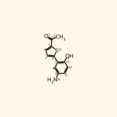 CC(=O)c1ccc(-c2cc(N)ccc2O)s1